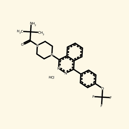 CC(C)(N)C(=O)N1CCN(c2nnc(-c3ccc(OC(F)(F)F)cc3)c3ccccc23)CC1.Cl